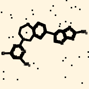 Nc1cc(Cl)nc(N2CCOc3ccc(-c4cnc5sc(N)nc5c4)cc3C2)n1